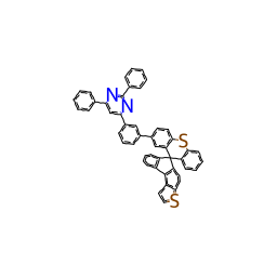 c1ccc(-c2cc(-c3cccc(-c4ccc5c(c4)C4(c6ccccc6S5)c5ccccc5-c5c4ccc4sccc54)c3)nc(-c3ccccc3)n2)cc1